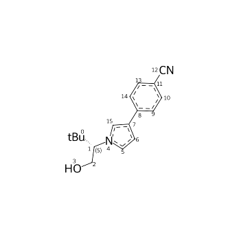 [CH2]C(C)(C)[C@@H](CO)n1ccc(-c2ccc(C#N)cc2)c1